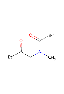 CCC(=O)CN(C)C(=O)C(C)C